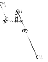 CCCCCCCCCCCCCCCCCCCCCCCCOC(=O)CCCCCCCN(CCCCCCCC(=O)O)CCCNCCCCCCCC(=C=O)OCCCCCCCCCCCCCC